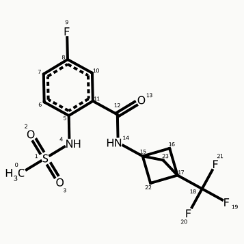 CS(=O)(=O)Nc1ccc(F)cc1C(=O)NC12CC(C(F)(F)F)(C1)C2